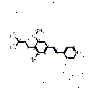 COc1cc(/C=C/c2ccncc2)cc(O)c1CC=C(C)C